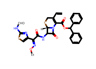 C=CC1=C(C(=O)OC(c2ccccc2)c2ccccc2)N2C(=O)C(NC(=O)C(=NOCC)c3csc(NC=O)n3)[C@@H]2SC1